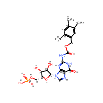 COc1cc(COC(=O)Nc2nc3c(ncn3[C@@H]3O[C@H](COP(=O)(O)O)[C@@H](O)[C@H]3O)c(=O)[nH]2)c([N+](=O)[O-])cc1OC